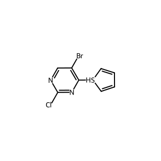 Clc1ncc(Br)c([SH]2C=CC=C2)n1